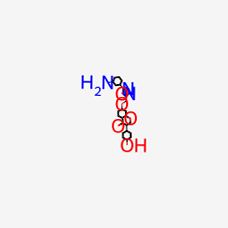 Nc1cccc(-c2nnc(COc3ccc4c(=O)c(-c5ccc(O)cc5)coc4c3)o2)c1